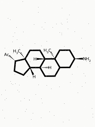 CC(=O)[C@H]1CC[C@H]2[C@@H]3CCC4C[C@H](N)CC[C@]4(C)[C@H]3CC[C@]12C